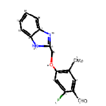 COc1cc(C=O)c(F)cc1OCc1nc2ccccc2[nH]1